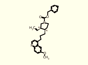 C=C[C@H]1CN(C(=O)OCc2ccccc2)CC[C@H]1CCCc1ccnc2ccc(OC)cc12